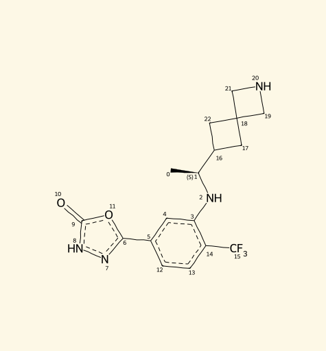 C[C@H](Nc1cc(-c2n[nH]c(=O)o2)ccc1C(F)(F)F)C1CC2(CNC2)C1